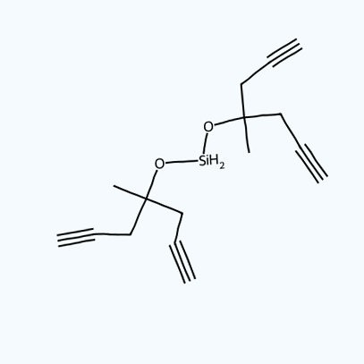 C#CCC(C)(CC#C)O[SiH2]OC(C)(CC#C)CC#C